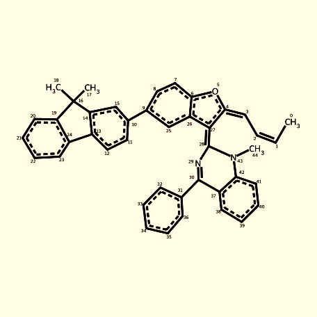 C\C=C/C=c1/oc2ccc(-c3ccc4c(c3)C(C)(C)c3ccccc3-4)cc2/c1=C1\N=C(c2ccccc2)c2ccccc2N1C